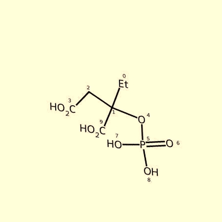 CCC(CC(=O)O)(OP(=O)(O)O)C(=O)O